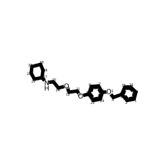 c1ccc(COc2ccc(OCCOCCNC3CCCCC3)cc2)cc1